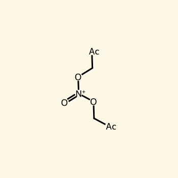 CC(=O)CO[N+](=O)OCC(C)=O